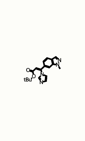 Cn1ncc2ccc(C(=CC(=O)OC(C)(C)C)n3ccnc3)cc21